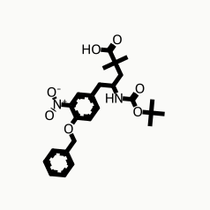 CC(C)(C)OC(=O)NC(Cc1ccc(OCc2ccccc2)c([N+](=O)[O-])c1)CC(C)(C)C(=O)O